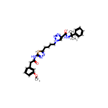 CC(C)(NC(=O)c1cn(CCCCc2nnc(NC(=O)Cc3cccc(OC(F)(F)F)c3)s2)nn1)c1ccccc1